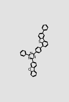 c1ccc(-c2ccc3sc4c(-c5ccc(-c6nc(-c7ccccc7)nc(-c7ccc8c(c7)oc7ccccc78)n6)cc5)cccc4c3c2)cc1